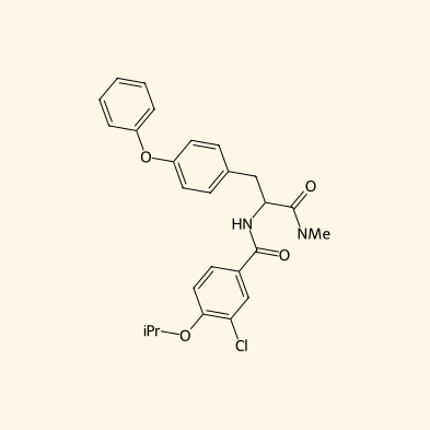 CNC(=O)C(Cc1ccc(Oc2ccccc2)cc1)NC(=O)c1ccc(OC(C)C)c(Cl)c1